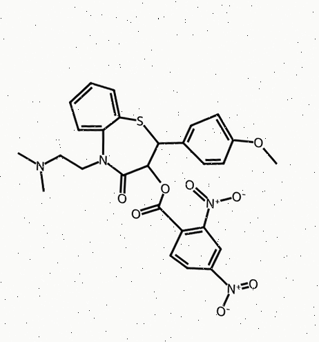 COc1ccc(C2Sc3ccccc3N(CCN(C)C)C(=O)C2OC(=O)c2ccc([N+](=O)[O-])cc2[N+](=O)[O-])cc1